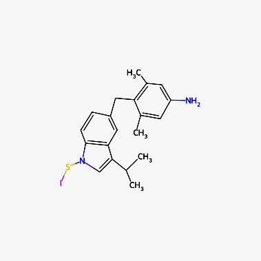 Cc1cc(N)cc(C)c1Cc1ccc2c(c1)c(C(C)C)cn2SI